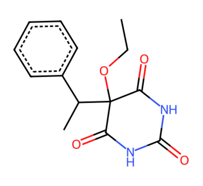 CCOC1(C(C)c2ccccc2)C(=O)NC(=O)NC1=O